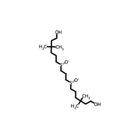 CC(C)(CCO)CCC[S+]([O-])CCC[S+]([O-])CCCC(C)(C)CCO